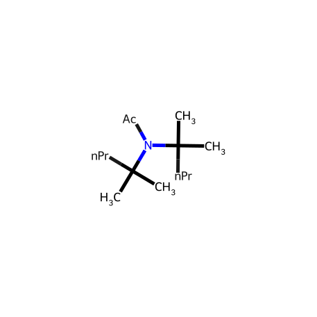 CCCC(C)(C)N(C(C)=O)C(C)(C)CCC